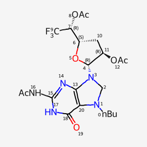 CCCCN1CN([C@@H]2O[C@H]([C@@H](OC(C)=O)C(F)(F)F)C[C@H]2OC(C)=O)c2nc(NC(C)=O)[nH]c(=O)c21